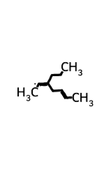 C[C]=C(CC=CC)CCC